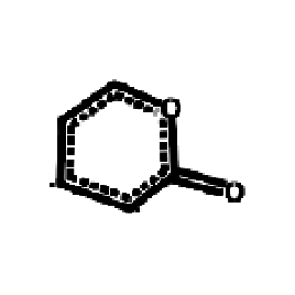 O=c1[c][c]cco1